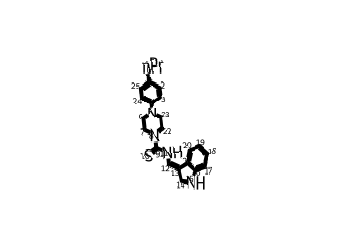 CCCc1ccc(N2CCN(C(=S)N/C=C3/CNc4ccccc43)CC2)cc1